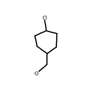 [O]CC1CCC(Cl)CC1